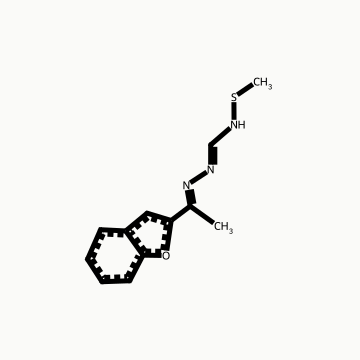 CSNC=NN=C(C)c1cc2ccccc2o1